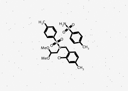 COC(CN(Cc1ccc(C)cc1Cl)S(=O)(=O)c1ccc(C)cc1)OC.Cc1ccc(S(N)(=O)=O)cc1